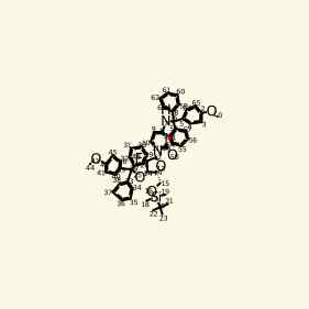 COc1ccc(C(Nc2ccn([C@@H]3O[C@H](CO[Si](C)(C)C(C)(C)C)[C@@H](OC(c4ccccc4)(c4ccccc4)c4ccc(OC)cc4)[C@H]3F)c(=O)n2)(c2ccccc2)c2ccccc2)cc1